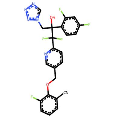 N#Cc1cccc(F)c1OCc1ccc(C(F)(F)C(O)(Cn2cnnn2)c2ccc(F)cc2F)nc1